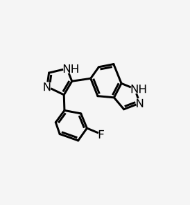 Fc1cccc(-c2nc[nH]c2-c2ccc3[nH]ncc3c2)c1